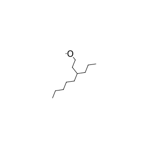 CCCCCC(CCC)CC[O]